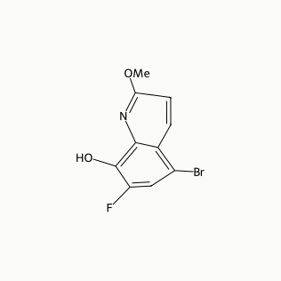 COc1ccc2c(Br)cc(F)c(O)c2n1